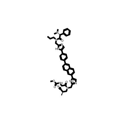 CCCN(Cc1ncc(-c2ccc(-c3ccc4cc(-c5cnc(CN(C[C@@H](C)C#N)C(=O)CNC(=O)OC)[nH]5)ccc4c3)cc2)[nH]1)C(=O)[C@@H](c1ccccc1)N(C)C